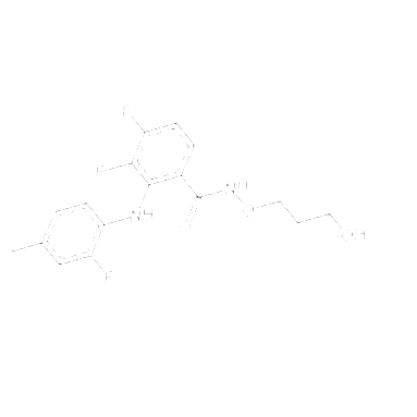 Cc1ccc(Nc2c(C(=O)NOCCCO)ccc(F)c2F)c(F)c1